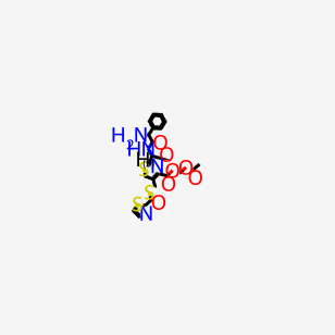 CC(=O)OCOC(=O)C1=C(CSC(=O)c2nccs2)CS[C@H]2C(NC(=O)C(N)c3ccccc3)C(=O)N12